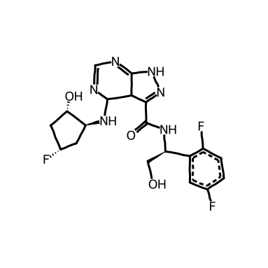 O=C(N[C@H](CO)c1cc(F)ccc1F)C1=NNC2=NC=NC(N[C@H]3C[C@H](F)C[C@@H]3O)C21